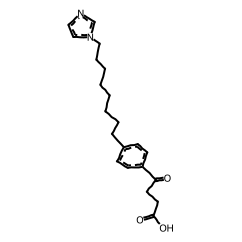 O=C(O)CCC(=O)c1ccc(CCCCCCCCn2ccnc2)cc1